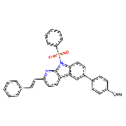 COc1ccc(-c2ccc3c(c2)c2ccc(/C=C/c4ccccc4)nc2n3S(=O)(=O)c2ccccc2)cc1